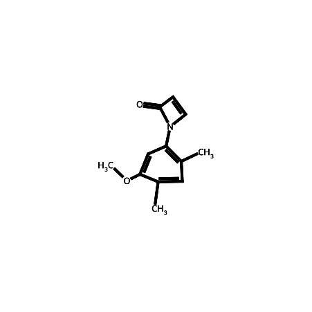 COc1cc(N2C=CC2=O)c(C)cc1C